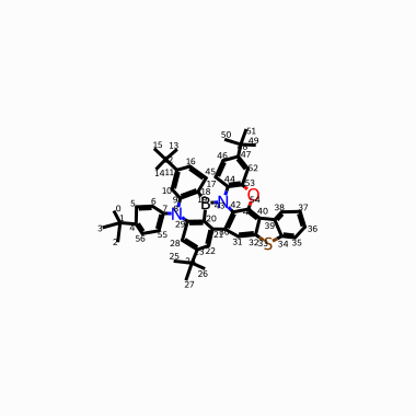 CC(C)(C)c1ccc(N2c3cc(C(C)(C)C)ccc3B3c4c(cc(C(C)(C)C)cc42)-c2cc4sc5ccccc5c4c4c2N3c2ccc(C(C)(C)C)cc2O4)cc1